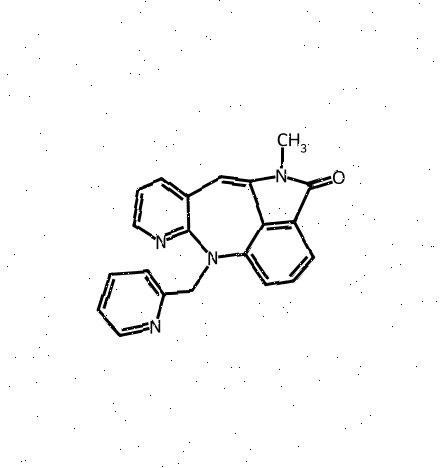 CN1C(=O)c2cccc3c2C1=Cc1cccnc1N3Cc1ccccn1